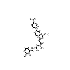 CC(C)N(CC(=O)NCc1cccc(Cl)c1F)C(=O)Cn1nc(C=O)c2cc(-c3cnc(N(C)C)nc3)ccc21